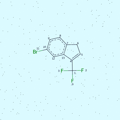 FC(F)(F)C1=CCc2ccc(Br)cc21